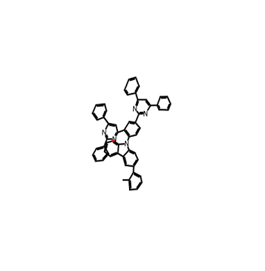 Cc1ccccc1-c1ccc2c(c1)c1ccccc1n2-c1ccc(-c2nc(-c3ccccc3)cc(-c3ccccc3)n2)cc1-c1cc(-c2ccccc2)nc(-c2ccccc2)n1